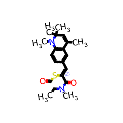 CCN(C)C(=O)/C(=C/c1ccc2c(c1)C(C)=CC(C)(C)N2C)SC=O